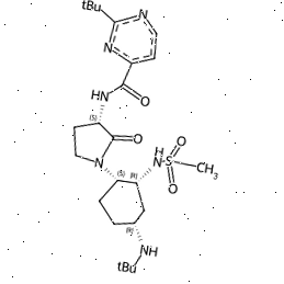 CC(C)(C)N[C@@H]1CC[C@H](N2CC[C@H](NC(=O)c3ccnc(C(C)(C)C)n3)C2=O)[C@H](NS(C)(=O)=O)C1